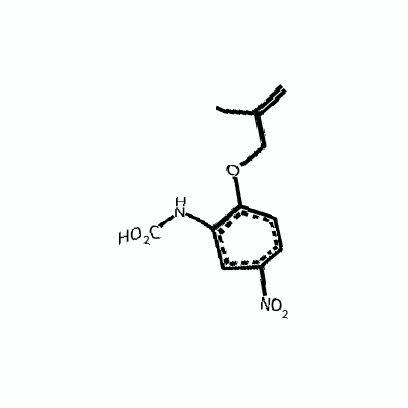 C=C(C)COc1ccc([N+](=O)[O-])cc1NC(=O)O